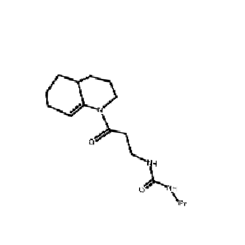 CC(C)NC(=O)NCCC(=O)N1CCCC2CCCC=C21